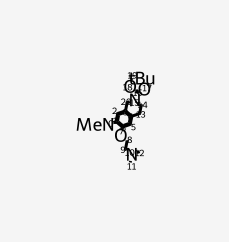 CNc1cc2c(cc1OCCN(C)C)CCN(C(=O)OC(C)(C)C)C2